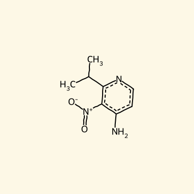 CC(C)c1nccc(N)c1[N+](=O)[O-]